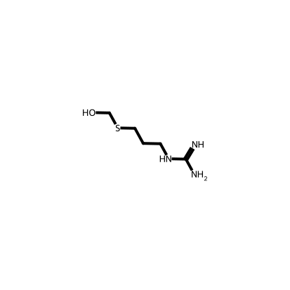 N=C(N)NCCCSCO